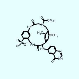 COC(=O)N1CC(=O)Nc2ccc(S(=O)(=O)C(C)C)c(c2)CNC(=O)C(Nc2ccc3nc[nH]c(=O)c3c2)c2cc(C)c(c(C)c2)C1